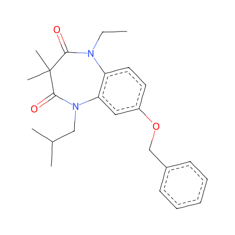 CCN1C(=O)C(C)(C)C(=O)N(CC(C)C)c2cc(OCc3ccccc3)ccc21